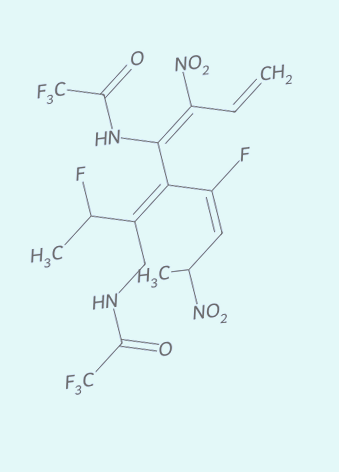 C=C\C(=C(NC(=O)C(F)(F)F)/C(C(/F)=C\C(C)[N+](=O)[O-])=C(/CNC(=O)C(F)(F)F)C(C)F)[N+](=O)[O-]